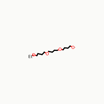 CCOCCCCOCCCCOCCCC[O]